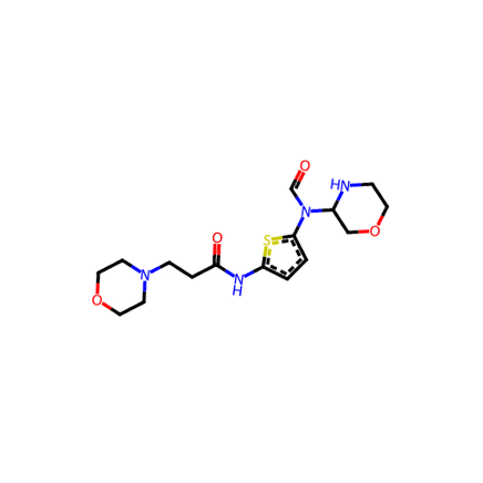 O=CN(c1ccc(NC(=O)CCN2CCOCC2)s1)C1COCCN1